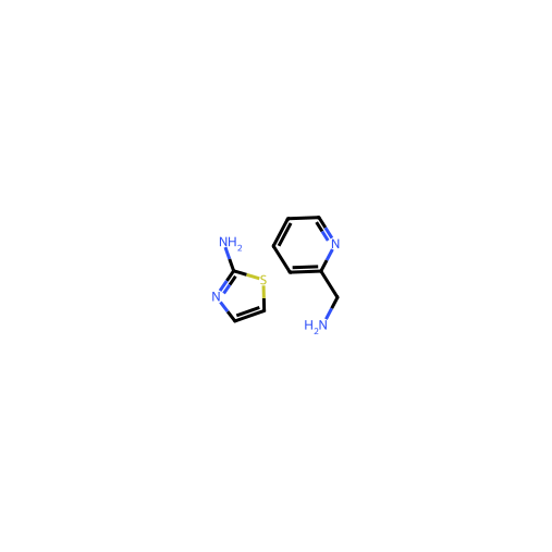 NCc1ccccn1.Nc1nccs1